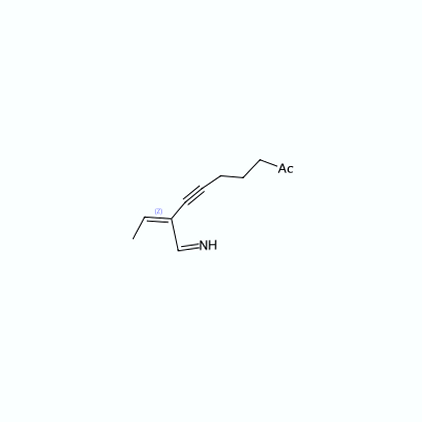 C/C=C(/C#CCCCC(C)=O)C=N